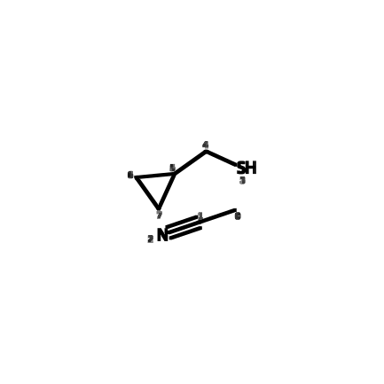 CC#N.SCC1CC1